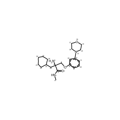 CNC(=O)C(N)(COc1cccc(N2CCOCC2)c1)CC1CCCCC1